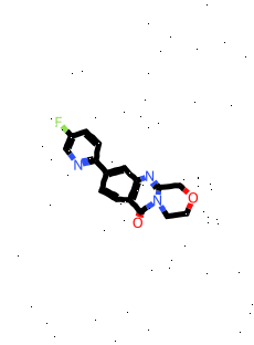 O=c1c2ccc(-c3ccc(F)cn3)cc2nc2n1CCOC2